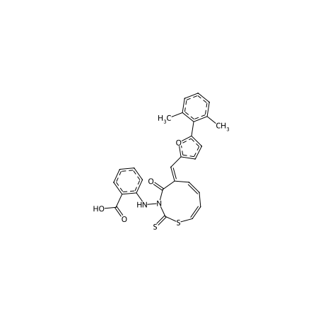 Cc1cccc(C)c1-c1ccc(C=C2C=CC=CSC(=S)N(Nc3ccccc3C(=O)O)C2=O)o1